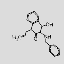 C=CCC1C(=O)C(NCc2ccccc2)C(O)c2ccccc21